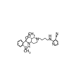 COc1ccccc1C(=O)NC1CCN(CCCCNc2ncccc2C#N)CC1OC